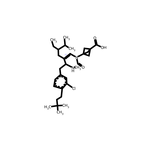 CCC(C/C(=C/N(C=O)C12CC(C(=O)O)(C1)C2)C(Cc1ccc(CCC(C)(C)C)c(Cl)c1)NC)C(C)C